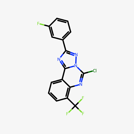 Fc1cccc(-c2nc3c4cccc(C(F)(F)F)c4nc(Cl)n3n2)c1